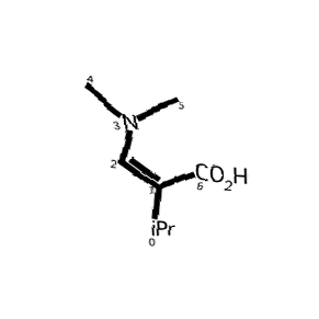 CC(C)C(=CN(C)C)C(=O)O